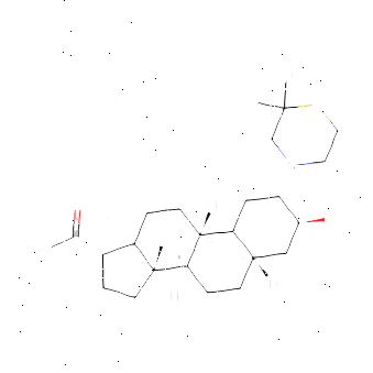 CC(=O)[C@H]1CC[C@H]2[C@@H]3CC[C@H]4C[C@H](O)[C@@H](N5CCSC(C)(C)C5)C[C@]4(C)[C@H]3CC[C@]12C